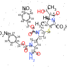 C[C@@H](O)[C@H]1C(=O)N2C(C(=O)O)=C(S[C@H]3C[C@@H](C4CC(C(N)=O)N(C(=O)OCc5ccc([N+](=O)[O-])cc5)C4)N(C(=O)OCc4ccc([N+](=O)[O-])cc4)C3)[C@H](C)[C@H]12